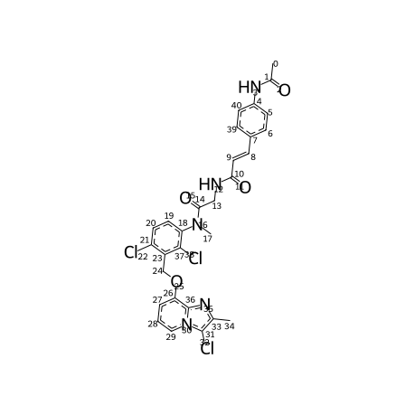 CC(=O)Nc1ccc(C=CC(=O)NCC(=O)N(C)c2ccc(Cl)c(COc3cccn4c(Cl)c(C)nc34)c2Cl)cc1